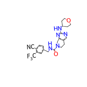 N#Cc1ccc(CNC(=O)N2CCc3cnc(NC4CCOCC4)nc3C2)cc1C(F)(F)F